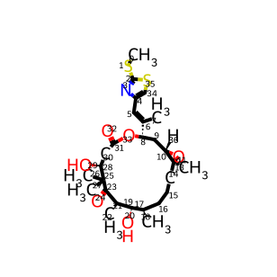 CSc1nc(/C=C(\C)[C@@H]2C[C@@H]3O[C@]3(C)CCC[C@H](C)[C@H](O)[C@@H](C)C(=O)C(C)(C)[C@@H](O)CC(=O)O2)cs1